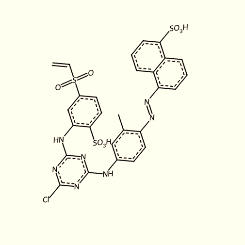 C=CS(=O)(=O)c1ccc(S(=O)(=O)O)c(Nc2nc(Cl)nc(Nc3ccc(N=Nc4cccc5c(S(=O)(=O)O)cccc45)c(C)c3)n2)c1